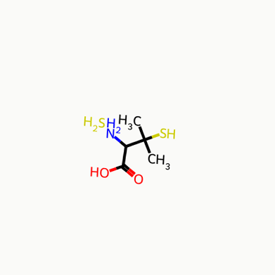 CC(C)(S)C(N)C(=O)O.S